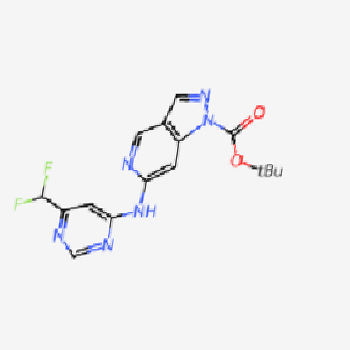 CC(C)(C)OC(=O)n1ncc2cnc(Nc3cc(C(F)F)ncn3)cc21